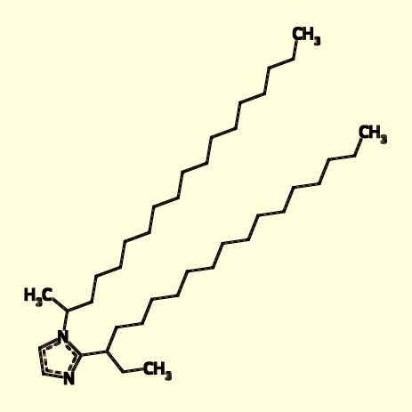 CCCCCCCCCCCCCCCCC(C)n1ccnc1C(CC)CCCCCCCCCCCCCCC